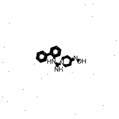 N=C(Nc1ccccc1-c1ccccc1)N1CCC(=NO)CC1